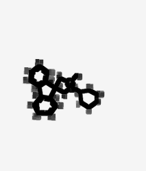 COCC1(CSC2CCCCC2)c2ccccc2-c2ccccc21